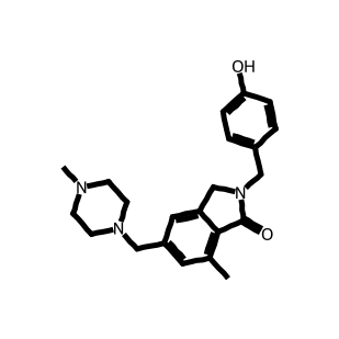 Cc1cc(CN2CCN(C)CC2)cc2c1C(=O)N(Cc1ccc(O)cc1)C2